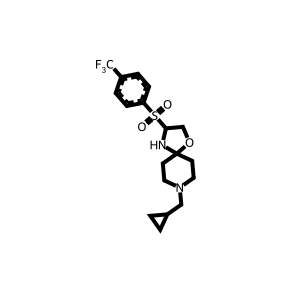 O=S(=O)(c1ccc(C(F)(F)F)cc1)C1COC2(CCN(CC3CC3)CC2)N1